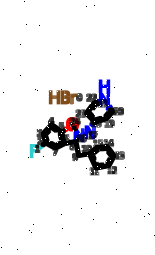 Br.Fc1ccc2c(c1)C(Cc1ccccc1)N(N=c1cc[nH]cc1)O2